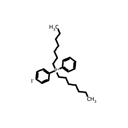 CCCCCCC[P+](CCCCCCC)(c1ccccc1)c1ccccc1.[I-]